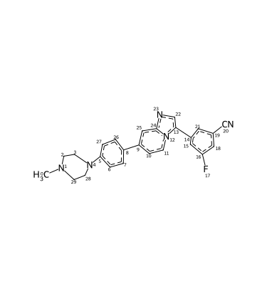 CN1CCN(c2ccc(-c3ccn4c(-c5cc(F)cc(C#N)c5)cnc4c3)cc2)CC1